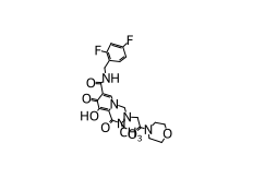 CN1C(=O)c2c(O)c(=O)c(C(=O)NCc3ccc(F)cc3F)cn2CN1CC(=O)N1CCOCC1